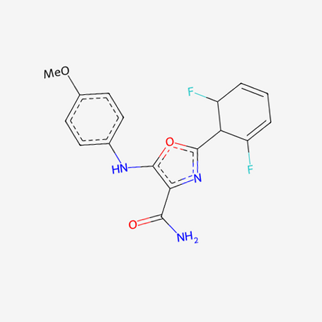 COc1ccc(Nc2oc(C3C(F)=CC=CC3F)nc2C(N)=O)cc1